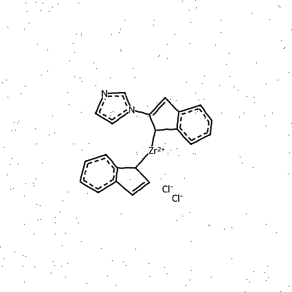 C1=C[CH]([Zr+2][CH]2C(n3ccnc3)=Cc3ccccc32)c2ccccc21.[Cl-].[Cl-]